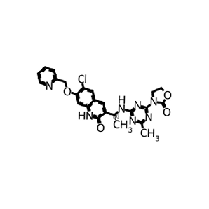 Cc1nc(N[C@H](C)c2cc3cc(Cl)c(OCc4ccccn4)cc3[nH]c2=O)nc(N2CCOC2=O)n1